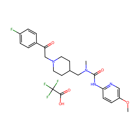 COc1ccc(NC(=O)N(C)CC2CCN(CC(=O)c3ccc(F)cc3)CC2)nc1.O=C(O)C(F)(F)F